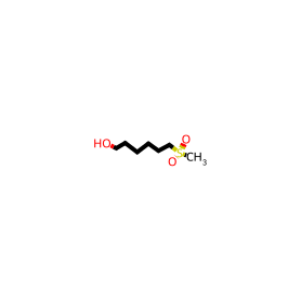 CS(=O)(=O)CCCCCCO